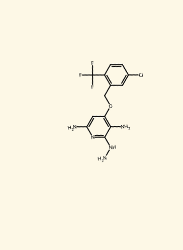 NNc1nc(N)cc(OCc2cc(Cl)ccc2C(F)(F)F)c1N